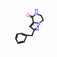 O=C1NCCn2nc(Cc3ccccc3)cc21